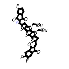 CCC(C)Cn1c2cc(C=C3C(=O)c4cc(F)c(F)cc4C3=O)sc2c2sc3c4sc(/C=C5\C(=O)c6ccc(F)cc6C5=O)cc4n(CC(C)CC)c3c21